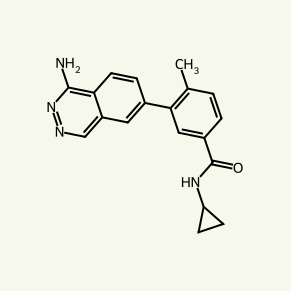 Cc1ccc(C(=O)NC2CC2)cc1-c1ccc2c(N)nncc2c1